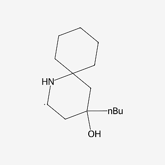 CCCCC1(O)C[CH]NC2(CCCCC2)C1